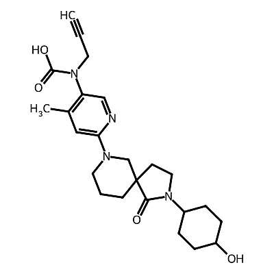 C#CCN(C(=O)O)c1cnc(N2CCCC3(CCN(C4CCC(O)CC4)C3=O)C2)cc1C